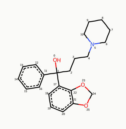 OC(CCCN1CCCCC1)(c1ccccc1)c1cccc2c1OCO2